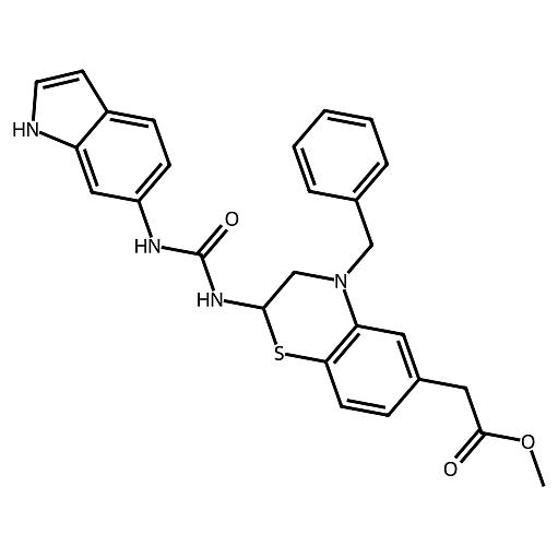 COC(=O)Cc1ccc2c(c1)N(Cc1ccccc1)CC(NC(=O)Nc1ccc3cc[nH]c3c1)S2